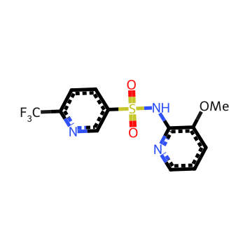 COc1cccnc1NS(=O)(=O)c1ccc(C(F)(F)F)nc1